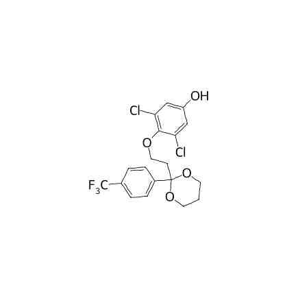 Oc1cc(Cl)c(OCCC2(c3ccc(C(F)(F)F)cc3)OCCCO2)c(Cl)c1